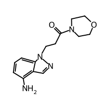 Nc1cccc2c1cnn2CCC(=O)N1CCOCC1